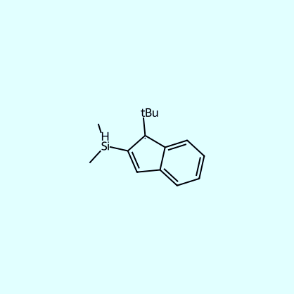 C[SiH](C)C1=Cc2ccccc2[C]1C(C)(C)C